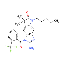 CCCCCN1C(=O)C(C)(C)c2cc3c(cc21)nc(N)n3C(=O)c1ccccc1C(F)(F)F